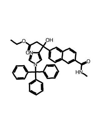 CCOC(=O)CC(O)(c1ccc2cc(C(=O)NC)ccc2c1)c1cn(C(c2ccccc2)(c2ccccc2)c2ccccc2)cn1